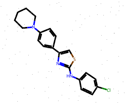 Clc1ccc(Nc2nc(-c3ccc(N4CCCCC4)cc3)cs2)cc1